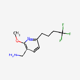 COc1nc(CCCC(F)(F)F)ccc1CN